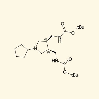 CC(C)(C)OC(=O)NC[C@@H]1CN(C2CCCC2)C[C@@H]1CNC(=O)OC(C)(C)C